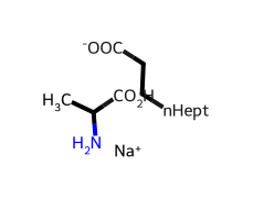 CC(N)C(=O)O.CCCCCCCCCC(=O)[O-].[Na+]